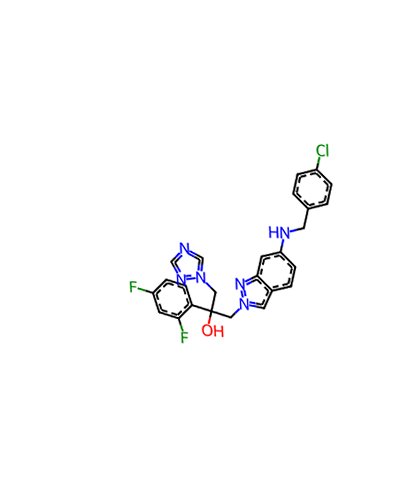 OC(Cn1cncn1)(Cn1cc2ccc(NCc3ccc(Cl)cc3)cc2n1)c1ccc(F)cc1F